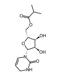 CC(C)C(=O)OC[C@H]1O[C@@H](N2C=CCNC2=O)[C@H](O)[C@@H]1O